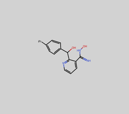 CC(C)c1ccc(C(O)c2ncccc2C(=N)NO)cc1